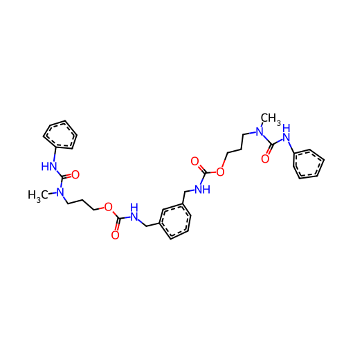 CN(CCCOC(=O)NCc1cccc(CNC(=O)OCCCN(C)C(=O)Nc2ccccc2)c1)C(=O)Nc1ccccc1